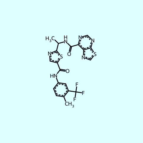 Cc1ccc(NC(=O)c2cnc(C(C)NC(=O)c3ncnc4scnc34)s2)cc1C(F)(F)F